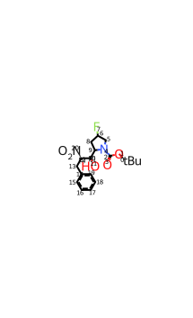 CC(C)(C)OC(=O)N1CC(F)CC1[C@@H](O)[C@H](Cc1ccccc1)[N+](=O)[O-]